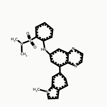 CN(C)S(=O)(=O)c1ccccc1Nc1cc(-c2ccc3ccn(C)c3c2)c2nccnc2c1